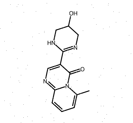 Cc1cccc2ncc(C3=NCC(O)CN3)c(=O)n12